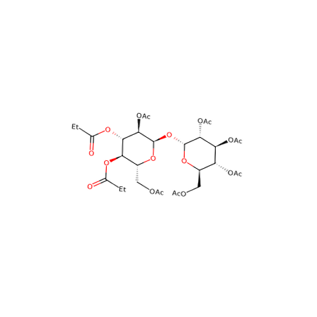 CCC(=O)O[C@@H]1[C@@H](OC(C)=O)[C@@H](O[C@H]2O[C@H](COC(C)=O)[C@@H](OC(C)=O)[C@H](OC(C)=O)[C@H]2OC(C)=O)O[C@H](COC(C)=O)[C@H]1OC(=O)CC